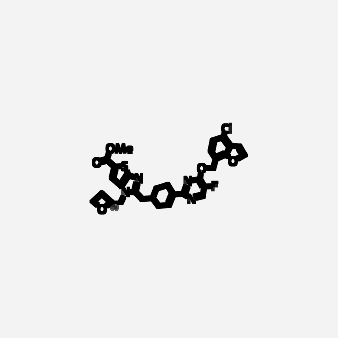 COC(=O)c1cc2c(nc(CC3CC=C(c4ncc(F)c(OCc5ccc(Cl)c6ccoc56)n4)CC3)n2C[C@@H]2CCO2)s1